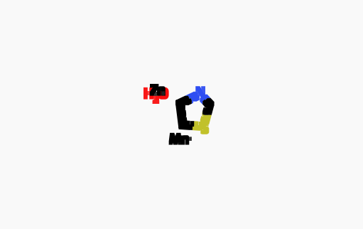 O.[Mn].[Zn].c1cscn1